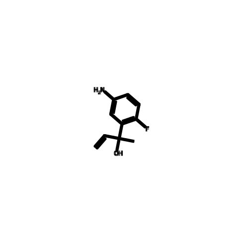 C=CC(C)(O)c1cc(N)ccc1F